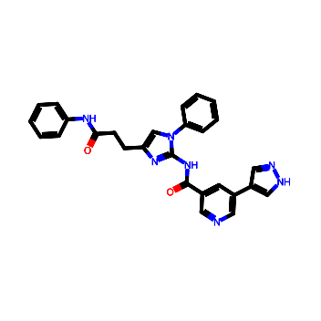 O=C(CCc1cn(-c2ccccc2)c(NC(=O)c2cncc(-c3cn[nH]c3)c2)n1)Nc1ccccc1